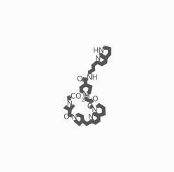 O=C(O)CN1CC(C(=O)N2CCC(Cc3ccc4c(n3)N(OC(=O)CN3CCC(C(=O)NCCCc5ccc6c(n5)NCCC6)CC3)CCC4)CC2)C1